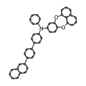 c1ccc(N(c2ccc(-c3ccc(-c4ccc5ccccc5c4)cc3)cc2)c2ccc3c(c2)Oc2cccc4cccc(c24)O3)cc1